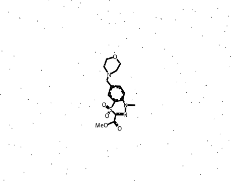 COC(=O)C1=NN(C)c2ccc(CN3CCOCC3)cc2S1(=O)=O